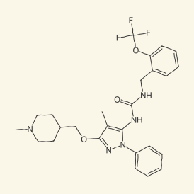 Cc1c(OCC2CCN(C)CC2)nn(-c2ccccc2)c1NC(=O)NCc1ccccc1OC(F)(F)F